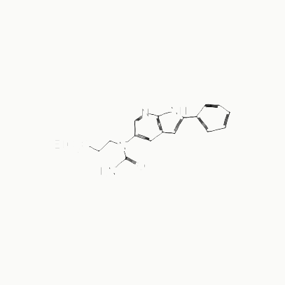 CCOC(=O)CCN(C(N)=O)c1cnc2[nH]c(-c3ccccc3)cc2c1